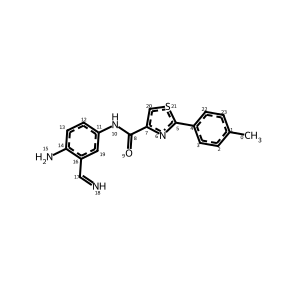 Cc1ccc(-c2nc(C(=O)Nc3ccc(N)c(C=N)c3)cs2)cc1